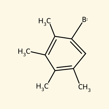 [B]c1cc(C)c(C)c(C)c1C